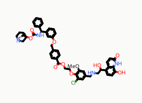 COc1cc(CNCC(O)c2ccc(O)c3[nH]c(=O)ccc23)cc(Cl)c1OCCOC(=O)c1ccc(COc2cccc([C@@H](NC(=O)OC3CN4CCC3CC4)c3ccccc3)c2)cc1